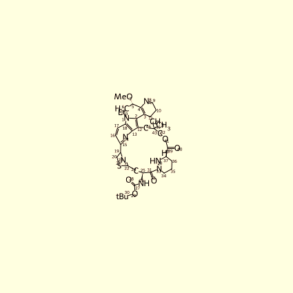 CCn1c(C2=C([C@H](C)OC)N=CCC2)c2c3nc(ccc31)C1CSC(=N1)C[C@H](NC(=O)OC(C)(C)C)C(=O)N1CCC[C@H](N1)C(=O)OCC(C)(C)C2